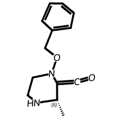 C[C@@H]1NCCN(OCc2ccccc2)C1=C=O